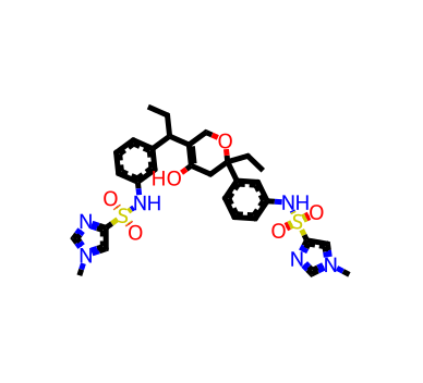 CCC(C1=C(O)CC(CC)(c2cccc(NS(=O)(=O)c3cn(C)cn3)c2)OC1)c1cccc(NS(=O)(=O)c2cn(C)cn2)c1